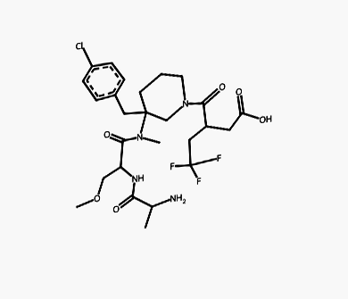 COCC(NC(=O)C(C)N)C(=O)N(C)C1(Cc2ccc(Cl)cc2)CCCN(C(=O)C(CC(=O)O)CC(F)(F)F)C1